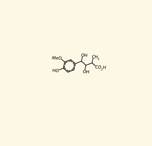 COc1cc(C(O)C(O)C(C)C(=O)O)ccc1O